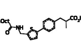 CCCCCCCCC(=O)NCc1ccc(-c2ccc(CC(C)C(=O)O)cc2)s1